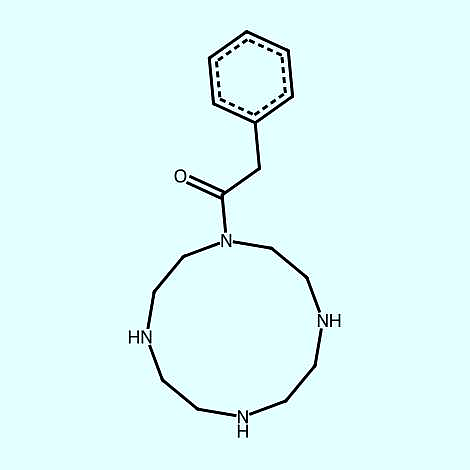 O=C(Cc1ccccc1)N1CCNCCNCCNCC1